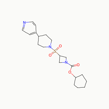 O=C(OC1CCCCC1)N1CC(S(=O)(=O)N2CCC(c3ccncc3)CC2)C1